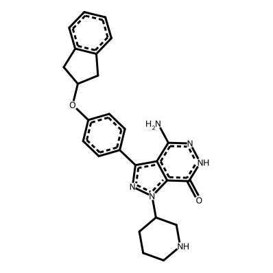 Nc1n[nH]c(=O)c2c1c(-c1ccc(OC3Cc4ccccc4C3)cc1)nn2C1CCCNC1